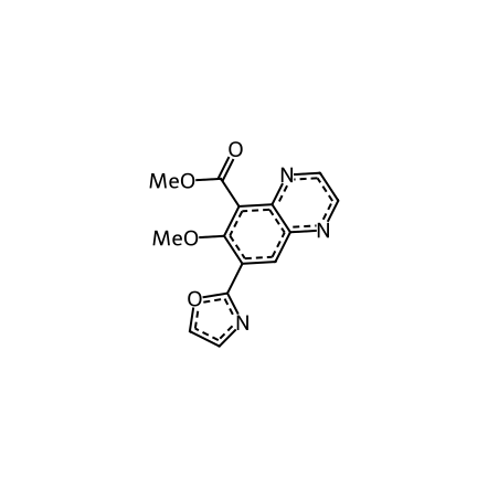 COC(=O)c1c(OC)c(-c2ncco2)cc2nccnc12